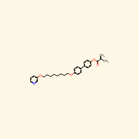 C=C(C)C(=O)Oc1ccc(-c2ccc(OCCCCCCCCOc3cccnc3)cc2)cc1